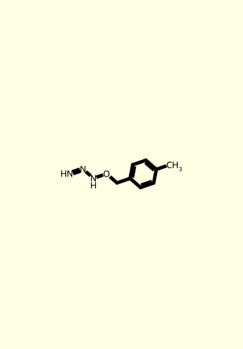 Cc1ccc(CONN=N)cc1